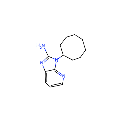 Nc1nc2cccnc2n1C1CCCCCCC1